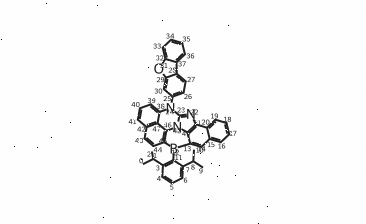 CC(C)c1cccc(C(C)C)c1B1c2cc3ccccc3c3nc4n(-c5ccc6c(c5)oc5ccccc56)c5cccc6ccc1c(c65)n4c23